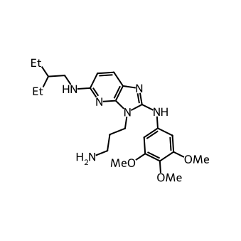 CCC(CC)CNc1ccc2nc(Nc3cc(OC)c(OC)c(OC)c3)n(CCCN)c2n1